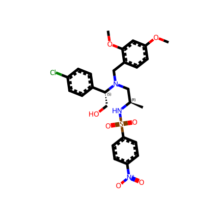 COc1ccc(CN(C[C@@H](C)NS(=O)(=O)c2ccc([N+](=O)[O-])cc2)[C@H](CO)c2ccc(Cl)cc2)c(OC)c1